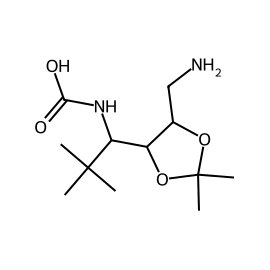 CC1(C)OC(CN)C(C(NC(=O)O)C(C)(C)C)O1